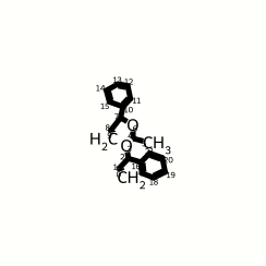 C=CC(OC(C)OC(C=C)c1ccccc1)c1ccccc1